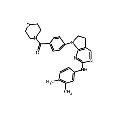 Cc1ccc(Nc2ncc3c(n2)N(c2ccc(C(=O)N4CCOCC4)cc2)CC3)cc1C